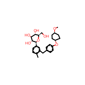 CO[C@H]1CC[C@@H](Oc2ccc(Cc3cc([C@@H]4O[C@H](CO)[C@@H](O)[C@H](O)[C@H]4O)ccc3C)cc2)CC1